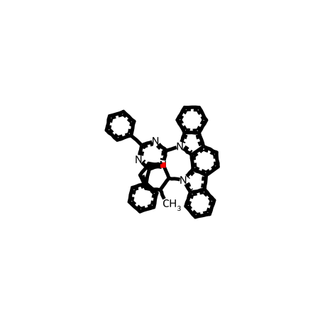 CC1C=CC=CC1n1c2ccccc2c2ccc3c4ccccc4n(-c4nc(-c5ccccc5)nc(-c5ccccc5)n4)c3c21